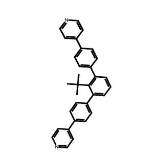 CC(C)(C)c1c(-c2ccc(-c3ccncc3)cc2)cccc1-c1ccc(-c2ccncc2)cc1